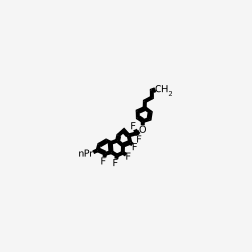 C=CCCc1ccc(OC(F)(F)c2ccc3c(c2F)C(F)C(F)c2c-3ccc(CCC)c2F)cc1